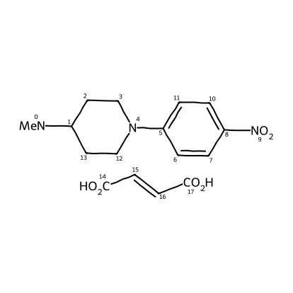 CNC1CCN(c2ccc([N+](=O)[O-])cc2)CC1.O=C(O)C=CC(=O)O